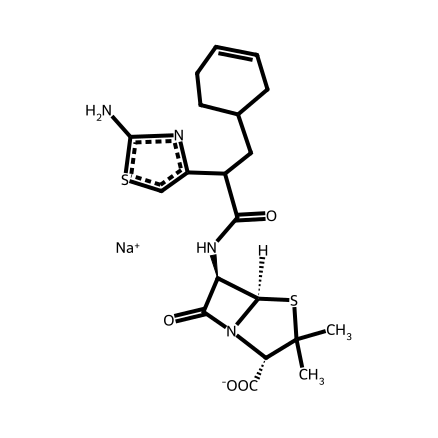 CC1(C)S[C@@H]2[C@H](NC(=O)C(CC3CC=CCC3)c3csc(N)n3)C(=O)N2[C@H]1C(=O)[O-].[Na+]